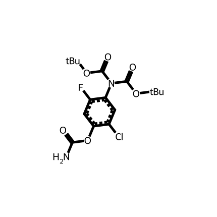 CC(C)(C)OC(=O)N(C(=O)OC(C)(C)C)c1cc(Cl)c(OC(N)=O)cc1F